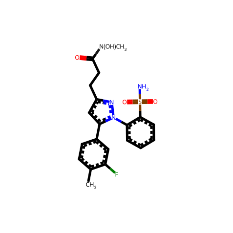 Cc1ccc(-c2cc(CCC(=O)N(C)O)nn2-c2ccccc2S(N)(=O)=O)cc1F